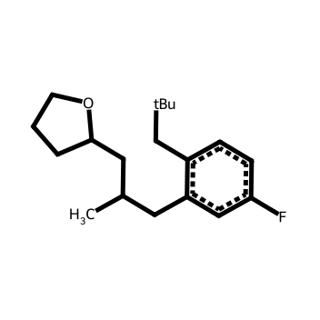 CC(Cc1cc(F)ccc1CC(C)(C)C)CC1CCCO1